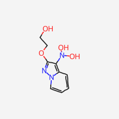 OCCOc1nn2ccccc2c1N(O)O